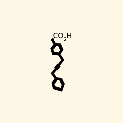 O=C(O)Cc1ccc(CC#CCc2ccccc2)cc1